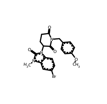 COc1ccc(CN2C(=O)CCC(n3c(=O)n(C)c4cc(Br)ccc43)C2=O)cc1